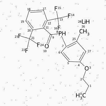 CCCOc1ccc(PC(=O)c2c(C(F)(F)F)cccc2C(F)(F)F)c(C)c1.[LiH]